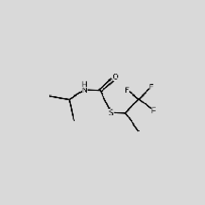 CC(C)NC(=O)SC(C)C(F)(F)F